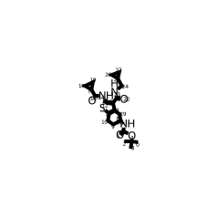 CC(C)(C)OC(=O)N[C@H]1CCc2sc(NC(=O)C3CC3)c(C(=O)NCC3CC3)c2C1